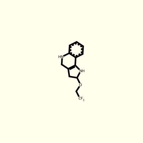 FC(F)(F)COC1CC2=C(N1)c1ccccc1NC2